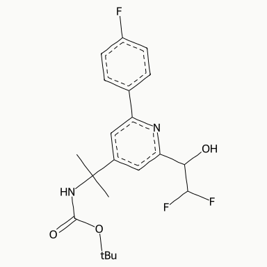 CC(C)(C)OC(=O)NC(C)(C)c1cc(-c2ccc(F)cc2)nc(C(O)C(F)F)c1